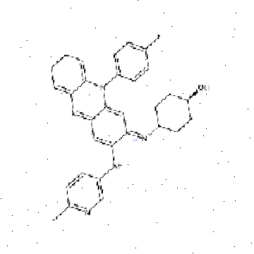 Cc1ccc(Nc2cc3nc4c(n(-c5ccc(F)cc5)c-3c/c2=N\[C@H]2CC[C@H](O)CC2)=CCCC=4)cn1